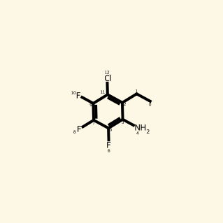 CCc1c(N)c(F)c(F)c(F)c1Cl